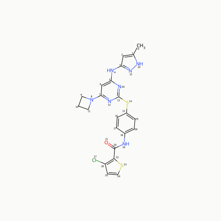 Cc1cc(Nc2cc(N3CCC3)nc(Sc3ccc(NC(=O)c4sccc4Cl)cc3)n2)n[nH]1